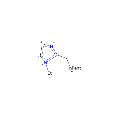 [CH2]CCCCCc1nccn1CC